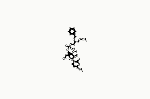 COC[C@@H](COP(=O)(O)OC1[C@@]2(CCl)O[C@@H](n3ccc(N)nc3=O)[C@H](F)[C@@]12O)OCc1ccccc1